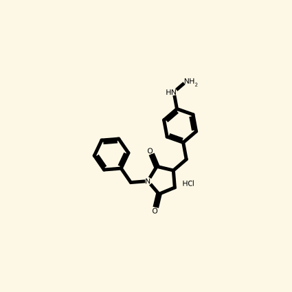 Cl.NNc1ccc(CC2CC(=O)N(Cc3ccccc3)C2=O)cc1